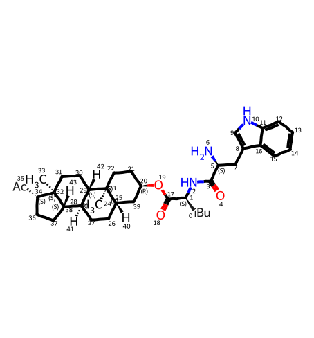 CCC(C)[C@H](NC(=O)[C@@H](N)Cc1c[nH]c2ccccc12)C(=O)O[C@@H]1CC[C@@]2(C)[C@@H](CC[C@@H]3[C@@H]2CC[C@]2(C)[C@@H](C(C)=O)CC[C@@H]32)C1